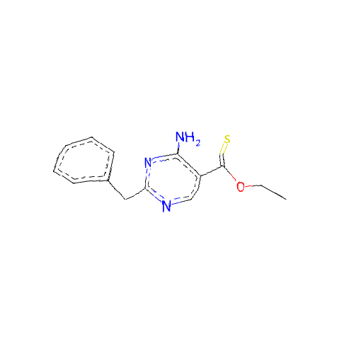 CCOC(=S)c1cnc(Cc2ccccc2)nc1N